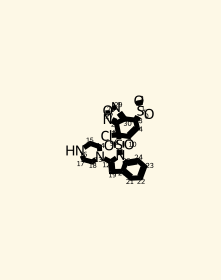 O=S(=O)=C1C=CC(Cl)(S(=O)(=O)n2c(N3CCNCC3)cc3ccccc32)c2nonc21